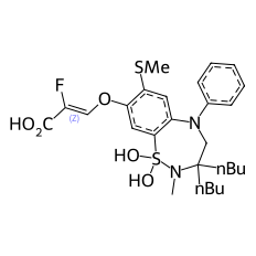 CCCCC1(CCCC)CN(c2ccccc2)c2cc(SC)c(O/C=C(\F)C(=O)O)cc2S(O)(O)N1C